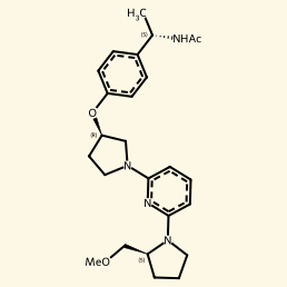 COC[C@@H]1CCCN1c1cccc(N2CC[C@@H](Oc3ccc([C@H](C)NC(C)=O)cc3)C2)n1